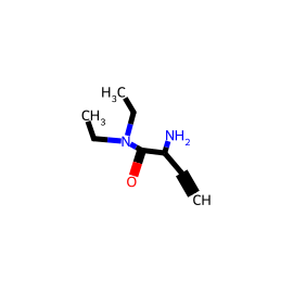 C#CC(N)C(=O)N(CC)CC